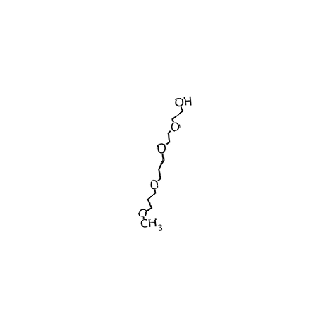 COCCCOCCCOCCOCCO